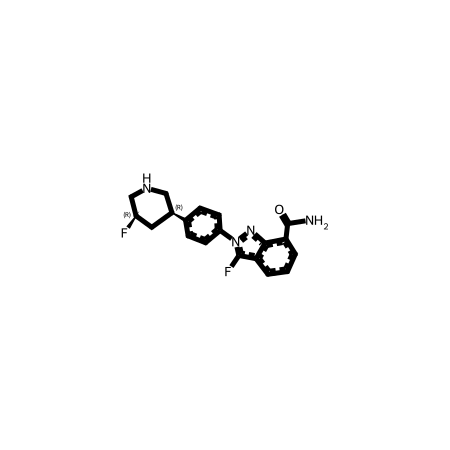 NC(=O)c1cccc2c(F)n(-c3ccc([C@@H]4CNC[C@H](F)C4)cc3)nc12